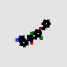 O=C1C(Cc2c(Cl)cc(OCc3ccccc3)cc2Cl)CCN1[C@@H]1CCCc2[nH]ncc21